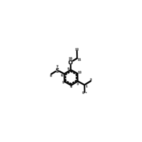 [CH2]C(C)c1ccc(SC)c(OCC)c1